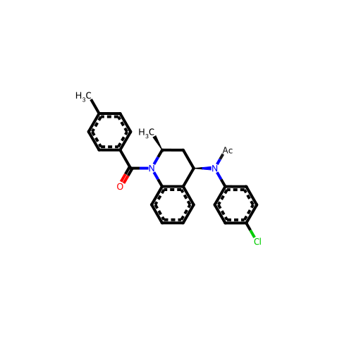 CC(=O)N(c1ccc(Cl)cc1)[C@@H]1C[C@H](C)N(C(=O)c2ccc(C)cc2)c2ccccc21